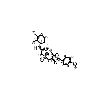 COc1ccc(-c2nc(CS(=O)(=O)CC(=O)NC3CCCC(C)C3C)c(C)o2)cc1